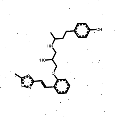 Cc1nnc(C=Cc2ccccc2OCC(O)CNC(C)CCc2ccc(O)cc2)s1